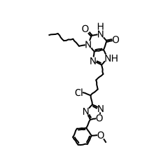 CCCCCn1c(=O)[nH]c(=O)c2[nH]c(CCCC(Cl)c3noc(-c4ccccc4OC)n3)nc21